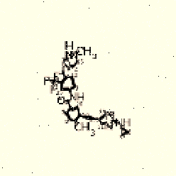 Cc1ccc(C(=O)Nc2ccc(CN3CCN(C)NC3)c(C(F)(F)F)c2)cc1C#Cc1cnc(NC2CC2)nc1